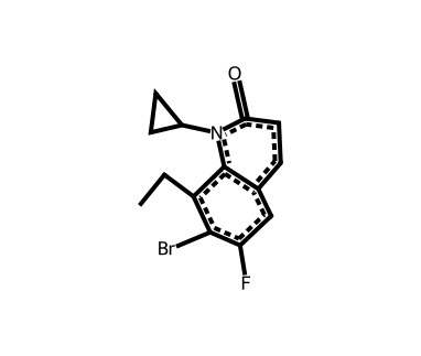 CCc1c(Br)c(F)cc2ccc(=O)n(C3CC3)c12